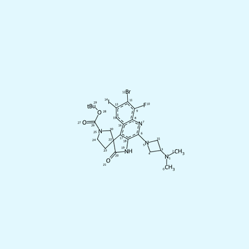 CN(C)C1CN(c2nc3c(F)c(Br)c(I)cc3c3c2NC(=O)C32CCN(C(=O)OC(C)(C)C)C2)C1